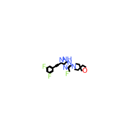 FCc1nc2c(C#Cc3cc(F)cc(F)c3)n[nH]c2nc1N1CCC2(CCOC2)CC1